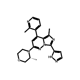 Cc1ncccc1-c1cc(N2CCOC[C@H]2C)nn2c(-c3ccn[nH]3)nc(C)c12